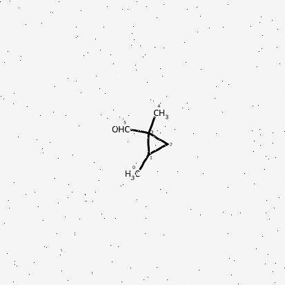 CC1CC1(C)C=O